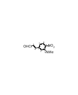 CNc1cc(/C=C/C=O)ccc1[N+](=O)[O-]